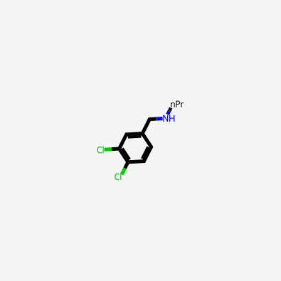 C[CH]CNCc1ccc(Cl)c(Cl)c1